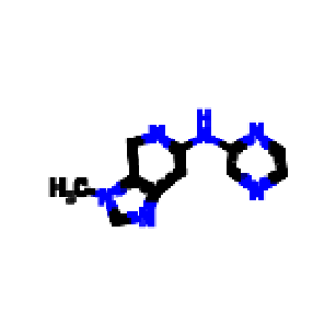 Cn1cnc2cc(Nc3cnccn3)ncc21